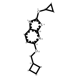 c1cc2nc(OC3CC3)sc2nc1OCC1CCC1